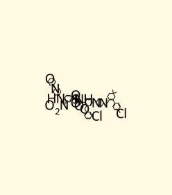 CC1(C)CCC(CN2CCN(c3ccc(C(=O)NS(=O)(=O)c4ccc(NC5CCN(C6CCOCC6)CC5)c([N+](=O)[O-])c4)c(Oc4cccc(Cl)c4)c3)CC2)=C(c2ccc(Cl)cc2)C1